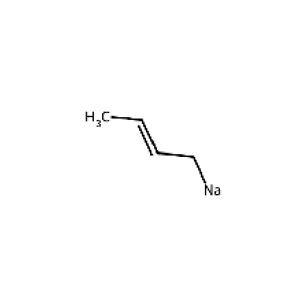 CC=C[CH2][Na]